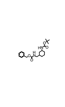 CC(C)(C)OC(=O)NC1CCCC(CNC(=O)OCc2ccccc2)C1